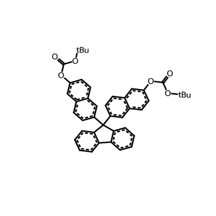 CC(C)(C)OC(=O)Oc1ccc2cc(C3(c4ccc5cc(OC(=O)OC(C)(C)C)ccc5c4)c4ccccc4-c4ccccc43)ccc2c1